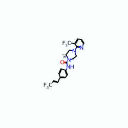 C[C@@H]1CN(c2ncccc2C(F)(F)F)CCN1C(=O)Nc1ccc(C=CC(F)(F)F)cc1